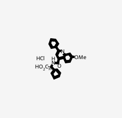 COc1ccc2c(C(=O)N[C@@H](C(=O)O)c3ccccc3)cc(-c3ccccc3)nc2c1.Cl